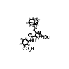 CC(C)(C)n1nc(COC23CC4CC(CC(C4)C2)C3)c(C(=O)Nc2cccc(C(=O)O)c2)n1